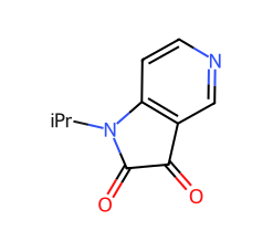 CC(C)N1C(=O)C(=O)c2cnccc21